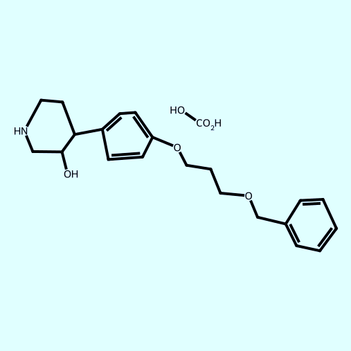 O=C(O)O.OC1CNCCC1c1ccc(OCCCOCc2ccccc2)cc1